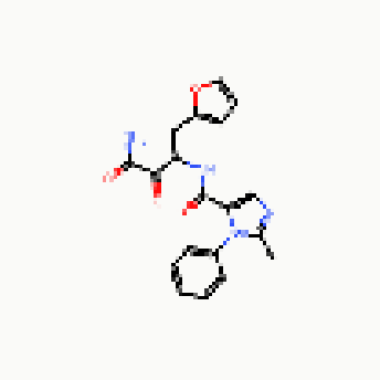 Cc1ncc(C(=O)NC(Cc2ccco2)C(=O)C(N)=O)n1-c1ccccc1